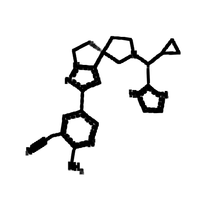 N#Cc1cc(-c2cc3n(n2)CC[C@@]32CCN(C(c3ncc[nH]3)C3CC3)C2)cnc1N